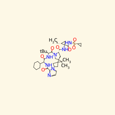 C=C[C@@H]1C[C@]1(NC(=O)[C@@H]1C[C@@]2(CN1C(=O)[C@@H](NC(=O)[C@@H](NC(=O)c1ncccn1)C1CCCCC1)C(C)(C)C)C(C)(C)C21CCC1)C(=O)NS(=O)(=O)C1CC1